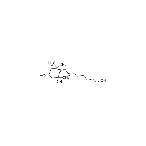 CC1(C)CC(O)CC(C)(C)N1COCCCCCCO